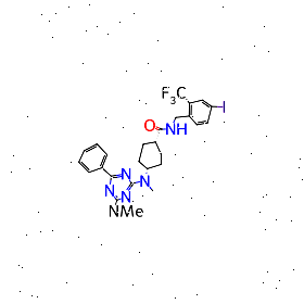 CNc1nc(-c2ccccc2)nc(N(C)[C@H]2CC[C@@H](C(=O)NCc3ccc(I)cc3C(F)(F)F)CC2)n1